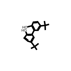 CC(C)(C)c1ccc(O)c(-c2cc(C(C)(C)C)ccc2O)c1